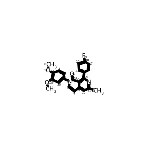 COc1ccc(-n2ccc3cc(C)nc(-c4ccc(F)cc4)c3c2=O)cc1OC